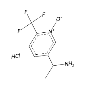 CC(N)c1ccc(C(F)(F)F)[n+]([O-])c1.Cl